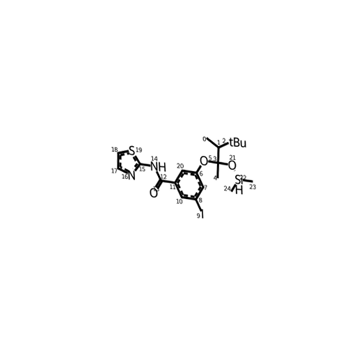 CC(C(C)(C)C)C(C)(Oc1cc(I)cc(C(=O)Nc2nccs2)c1)O[SiH](C)C